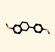 COc1c[c]c(C2CCc3cc(OC)ccc3C2)cc1